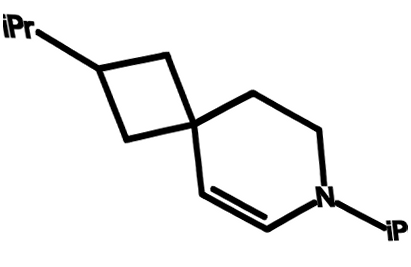 CC(C)C1CC2(C=CN(C(C)C)CC2)C1